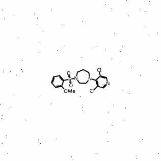 COc1ccccc1S(=O)(=O)N1CCCN(c2c(Cl)cncc2Cl)CC1